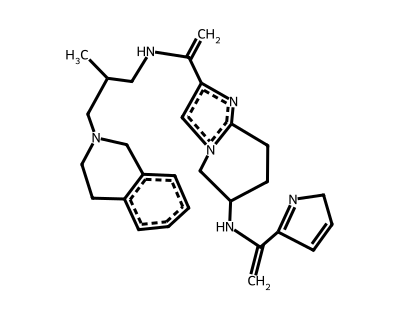 C=C(NC1CCc2nc(C(=C)NCC(C)CN3CCc4ccccc4C3)cn2C1)C1=NCC=C1